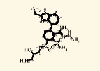 NCc1nc2c(-c3ccc([S+]([O-])NCC(O)CN)c(S(N)(=O)=O)c3/C(N)=N/NN)cccc2s1